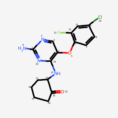 Nc1ncc(Oc2ccc(Cl)cc2F)c(NC2CCCCC2=O)n1